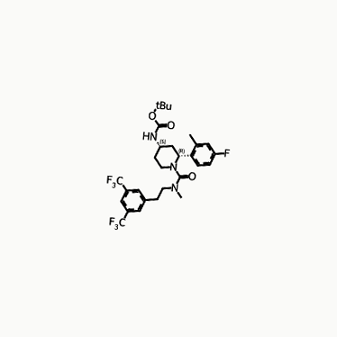 Cc1cc(F)ccc1[C@H]1C[C@@H](NC(=O)OC(C)(C)C)CCN1C(=O)N(C)CCc1cc(C(F)(F)F)cc(C(F)(F)F)c1